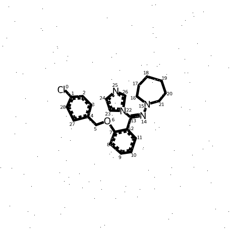 Clc1ccc(COc2ccccc2C(=NN2CCCCCC2)n2ccnc2)cc1